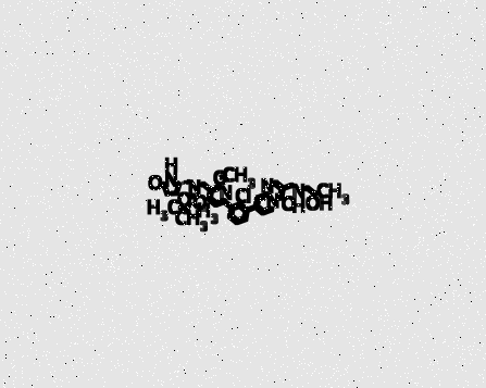 COc1nc(-c2cccc(-c3ccn4c(=O)c(CNCC(C)O)cnc4c3)c2Cl)ccc1CN(C[C@@H]1CCC(=O)N1)C(=O)OC(C)(C)C